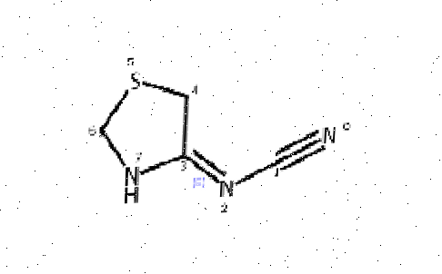 N#C/N=C1\CS[CH]N1